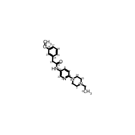 CCN1CCN(c2ccc(NC(=O)Cc3cccc(OC)c3)cn2)CC1